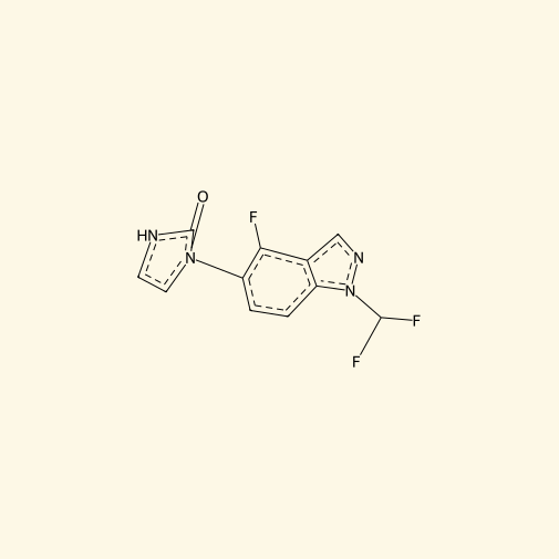 O=c1[nH]ccn1-c1ccc2c(cnn2C(F)F)c1F